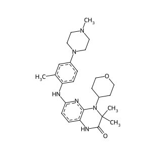 Cc1cc(N2CCN(C)CC2)ccc1Nc1ccc2c(n1)N(C1CCOCC1)C(C)(C)C(=O)N2